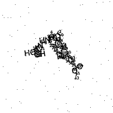 C=C(C)[C@@H]1CC[C@]2(NCCN3C[C@@H]4CC3CS4(O)O)CC[C@]3(C)[C@H](CC[C@@H]4[C@@]5(C)CC=C(C6=CC7C(C6)C7C(=O)OCC)C(C)(C)[C@@H]5CC[C@]43C)[C@@H]12